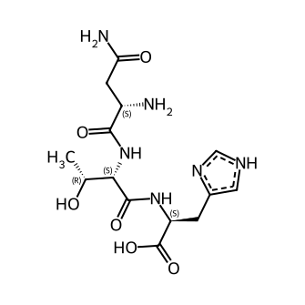 C[C@@H](O)[C@H](NC(=O)[C@@H](N)CC(N)=O)C(=O)N[C@@H](Cc1c[nH]cn1)C(=O)O